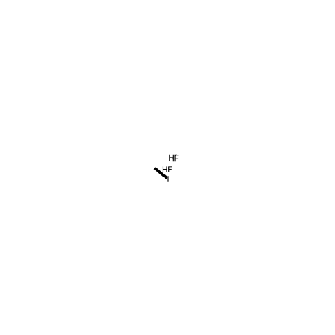 CI.F.F